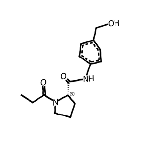 CCC(=O)N1CCC[C@H]1C(=O)Nc1ccc(CO)cc1